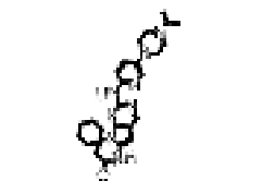 CC(C)N1CCN(c2ccc(Nc3ncc4cc5n(c4n3)C3(CCCCC3)CC(=O)N5)nc2)CC1